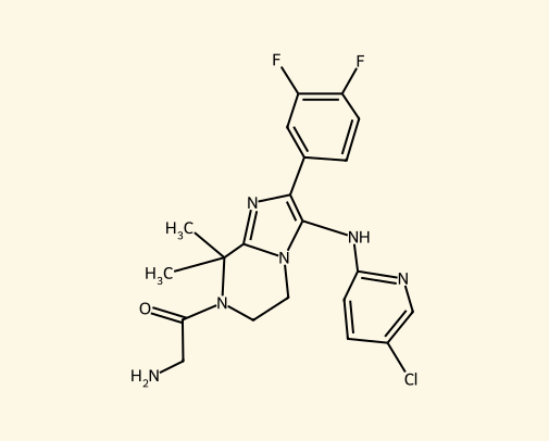 CC1(C)c2nc(-c3ccc(F)c(F)c3)c(Nc3ccc(Cl)cn3)n2CCN1C(=O)CN